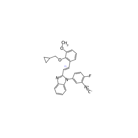 [C-]#[N+]c1cc(-n2c(/C=C/c3cccc(OC)c3OCC3CC3)nc3ccccc32)ccc1F